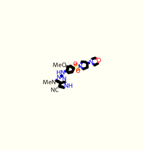 CNc1nc(Nc2ccc(S(=O)(=O)N3CCC(N4CCOCC4)CC3)cc2OC)nc2[nH]cc(C#N)c12